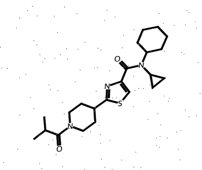 CC(C)C(=O)N1CCC(c2nc(C(=O)N(C3CCCCC3)C3CC3)cs2)CC1